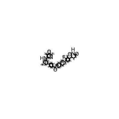 Cc1c(C2CCC(=O)NC2=O)ccc(N2CCC3(CCN(C(=O)c4ccc([C@H]5C[C@@H](Nc6cnn(C)c(=O)c6C)CN(C)C5)cc4)CC3)CC2)c1F